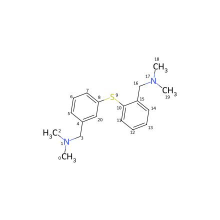 CN(C)Cc1cccc(Sc2ccccc2CN(C)C)c1